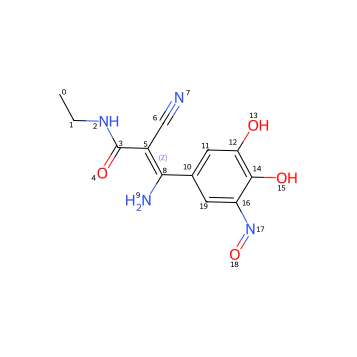 CCNC(=O)/C(C#N)=C(\N)c1cc(O)c(O)c(N=O)c1